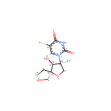 O=c1[nH]c(=O)n([C@@]2(Cl)CO[C@@](CO)(CCl)[C@H]2O)cc1F